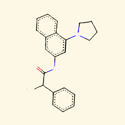 CC(=O)OC(C(=O)Nc1cc(N2CCCC2)c2ccccc2c1)c1ccccc1